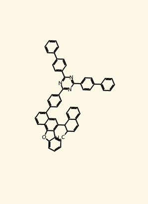 CC1C=Cc2ccccc2C1c1cc2c(-c3ccc(-c4nc(-c5ccc(-c6ccccc6)cc5)nc(-c5ccc(-c6ccccc6)cc5)n4)cc3)cccc2c2oc3ccccc3c12